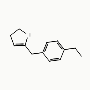 CCc1ccc(CC2=CCCN2)cc1